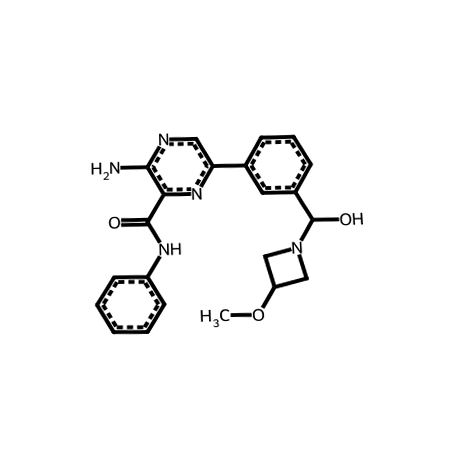 COC1CN(C(O)c2cccc(-c3cnc(N)c(C(=O)Nc4ccccc4)n3)c2)C1